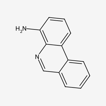 Nc1cccc2c1ncc1ccccc12